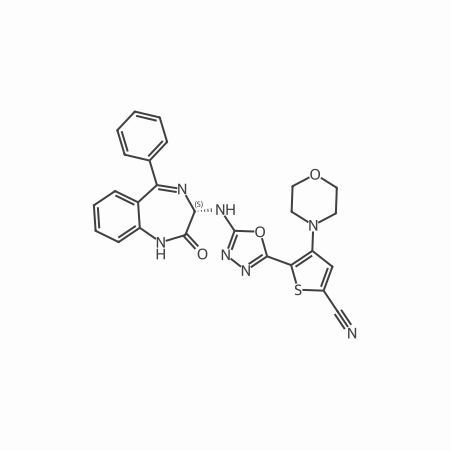 N#Cc1cc(N2CCOCC2)c(-c2nnc(N[C@H]3N=C(c4ccccc4)c4ccccc4NC3=O)o2)s1